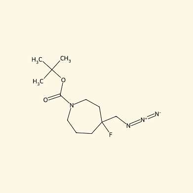 CC(C)(C)OC(=O)N1CCCC(F)(CN=[N+]=[N-])CC1